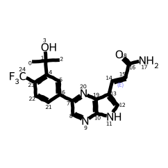 CC(C)(O)c1cc(-c2cnc3[nH]cc(/C=C/C(N)=O)c3n2)ccc1C(F)(F)F